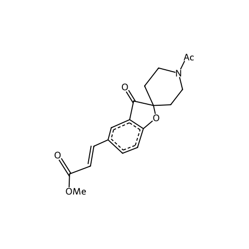 COC(=O)/C=C/c1ccc2c(c1)C(=O)C1(CCN(C(C)=O)CC1)O2